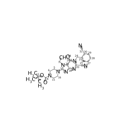 CCn1c(N2CCN(C(=O)OC(C)(C)C)CC2)nc2nc(C#N)n(Cc3ccccc3C#N)c(=O)c21